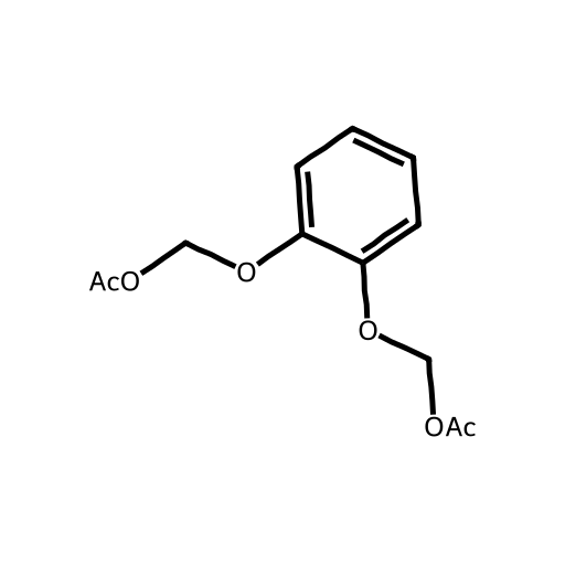 CC(=O)OCOc1ccccc1OCOC(C)=O